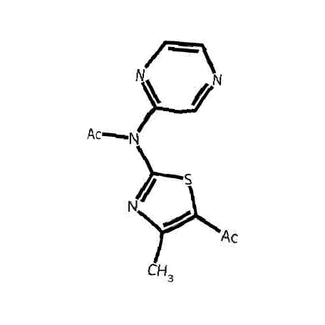 CC(=O)c1sc(N(C(C)=O)c2cnccn2)nc1C